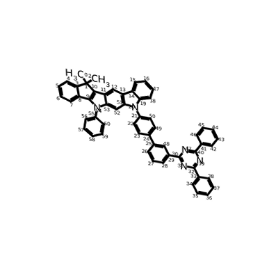 CC1(C)c2ccccc2-c2c1c1cc3c4ccccc4n(-c4ccc(-c5cccc(-c6nc(-c7ccccc7)nc(-c7ccccc7)n6)c5)cc4)c3cc1n2-c1ccccc1